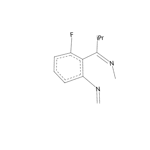 C=Nc1cccc(F)c1/C(=N\C)C(C)C